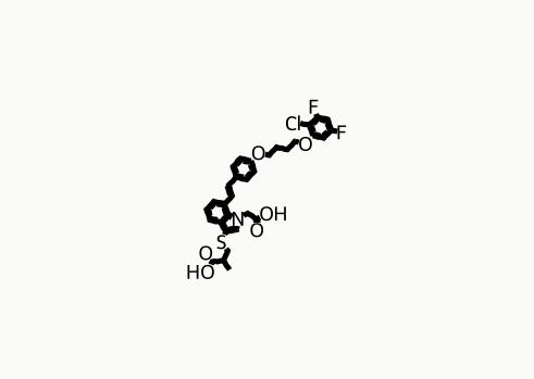 CC(CSc1cn(CC(=O)O)c2c(C=Cc3ccc(OCCCCOc4cc(F)cc(F)c4Cl)cc3)cccc12)C(=O)O